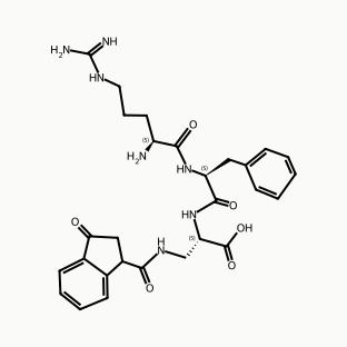 N=C(N)NCCC[C@H](N)C(=O)N[C@@H](Cc1ccccc1)C(=O)N[C@@H](CNC(=O)C1CC(=O)c2ccccc21)C(=O)O